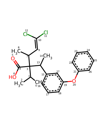 CC(C)C(C(=O)O)(C(C)C=C(Cl)Cl)C(C)c1cccc(Oc2ccccc2)c1